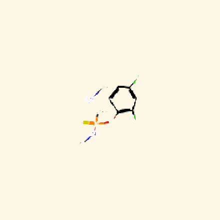 CC(C)N.COP(=S)(NC(C)C)Oc1ccc(Cl)cc1Cl